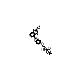 COCc1cnc2c(-c3nc4ccc(OCCNC(=O)OC(C)(C)C)cc4s3)cc(C)cc2n1